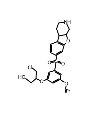 CC(C)Oc1cc(OC(CO)CCl)cc(S(=O)(=O)c2ccc3c(c2)OC2CNCCC32)c1